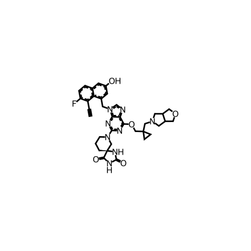 C#Cc1c(F)ccc2cc(O)cc(Cn3cnc4c(OCC5(CN6CC7COCC7C6)CC5)nc(N5CCC[C@@]6(C5)NC(=O)NC6=O)nc43)c12